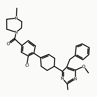 COc1nc(C)nc(C2CC=C(c3ccc(C(=O)N4CCN(C)CC4)cc3Cl)CC2)c1Cc1ccccc1